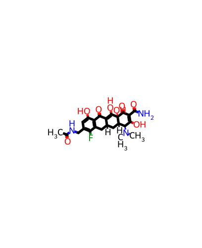 CC(=O)NCc1cc(O)c2c(c1F)C[C@H]1C[C@H]3[C@H](N(C)C)C(O)=C(C(N)=O)C(=O)[C@@]3(O)C(O)=C1C2=O